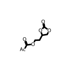 CC(=O)C(=O)OCCC1COC(=O)O1